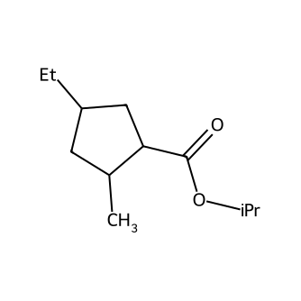 CCC1CC(C)C(C(=O)OC(C)C)C1